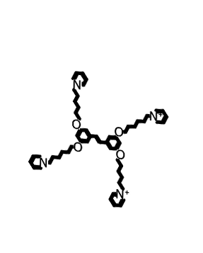 C(=C\c1cc(OCCCCCC[n+]2ccccc2)cc(OCCCCCC[n+]2ccccc2)c1)/c1cc(OCCCCCC[n+]2ccccc2)cc(OCCCCCC[n+]2ccccc2)c1